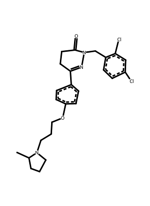 CC1CCCN1CCCOc1ccc(C2=NN(Cc3ccc(Cl)cc3Cl)C(=O)CC2)cc1